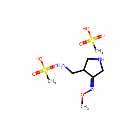 CO/N=C1/CNCC1CN.CS(=O)(=O)O.CS(=O)(=O)O